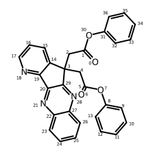 O=C(CC1(CC(=O)Oc2ccccc2)c2cccnc2-c2nc3ccccc3nc21)Oc1ccccc1